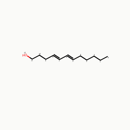 CCCCC/C=C/C=C/CCCO